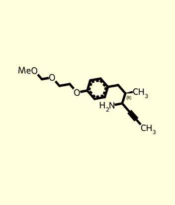 CC#CC(N)[C@H](C)Cc1ccc(OCCOCOC)cc1